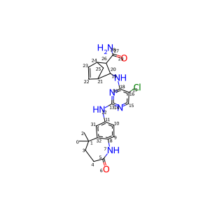 CC1(C)CCC(=O)Nc2ccc(Nc3ncc(Cl)c(NC4C5C=CC(C5)C4C(N)=O)n3)cc21